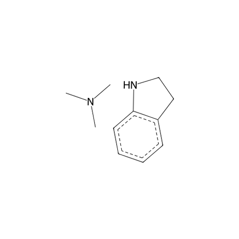 CN(C)C.c1ccc2c(c1)CCN2